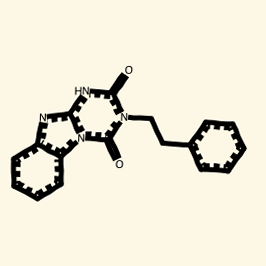 O=c1[nH]c2nc3ccccc3n2c(=O)n1CCc1ccccc1